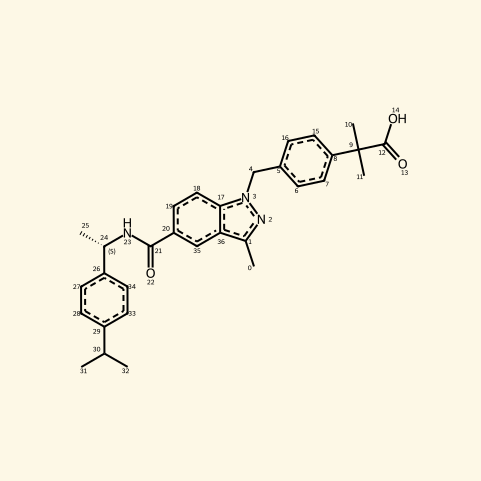 Cc1nn(Cc2ccc(C(C)(C)C(=O)O)cc2)c2ccc(C(=O)N[C@@H](C)c3ccc(C(C)C)cc3)cc12